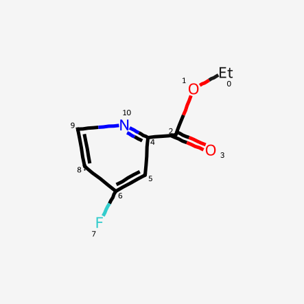 CCOC(=O)c1cc(F)[c]cn1